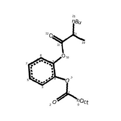 CCCCCCCCC(=O)Oc1ccccc1OC(=O)C(C)CCCC